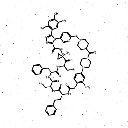 CCNC(=O)c1nnc(-c2cc(C(C)C)c(O)cc2O)n1-c1ccc(CN2CCC(C(=O)N3CCN(c4ccc(OC(=O)N[C@@H](CCc5ccccc5)C(=O)N[C@@H](CC(C)C)C(=O)N[C@@H](Cc5ccccc5)C(=O)NC(CC(C)C)C(=O)[C@@]5(C)CO5)c(C)c4)CC3)CC2)cc1